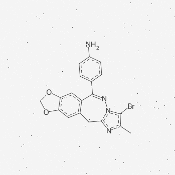 Cc1nc2n(c1Br)N=C(c1ccc(N)cc1)c1cc3c(cc1C2)OCO3